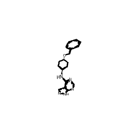 c1ccc(CO[C@H]2CC[C@H](Nc3ncnc4[nH]ncc34)CC2)cc1